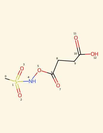 CS(=O)(=O)NOC(=O)CCC(=O)O